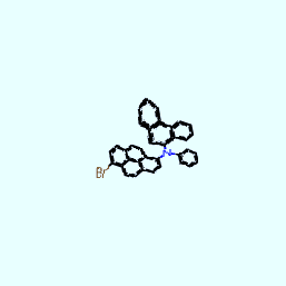 Brc1ccc2ccc3c(N(c4ccccc4)c4cc5ccccc5c5ccccc45)ccc4ccc1c2c43